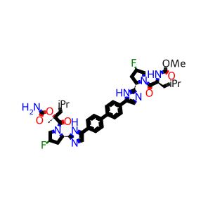 COC(=O)N[C@@H](CC(C)C)C(=O)N1C[C@H](F)C[C@H]1c1ncc(-c2ccc(-c3ccc(-c4cnc([C@@H]5C[C@@H](F)CN5C(=O)[C@](C)(CC(C)C)OC(N)=O)[nH]4)cc3)cc2)[nH]1